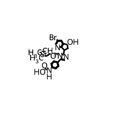 C[Si](C)(C)CCOCn1c(-c2ccc(NC(=O)O)cc2)cnc1C1CC(O)c2cc(Br)cnc21